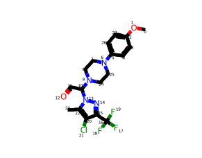 COc1ccc(N2CCN(C(C=O)n3nc(C(F)(F)F)c(Cl)c3C)CC2)cc1